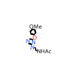 COc1ccc(Oc2cncc(N(C)CCNC(C)=O)n2)cc1